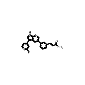 NC(=O)C=Cc1cccc(-c2cnc3[nH]cc(-c4ccnc(F)c4)c3c2)c1